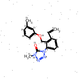 C=Cc1cccc(-n2nnn(C)c2=O)c1COc1cccc(C)c1